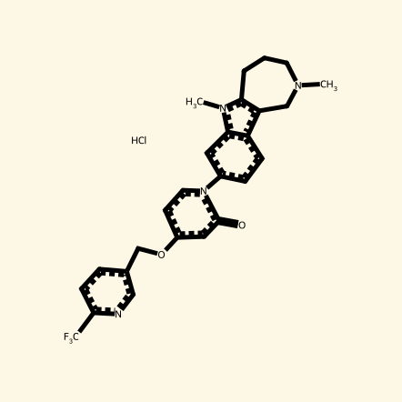 CN1CCCc2c(c3ccc(-n4ccc(OCc5ccc(C(F)(F)F)nc5)cc4=O)cc3n2C)C1.Cl